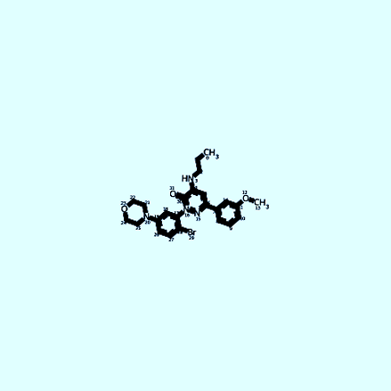 CCCNc1cc(-c2cccc(OC)c2)nn(-c2cc(N3CCOCC3)ccc2Br)c1=O